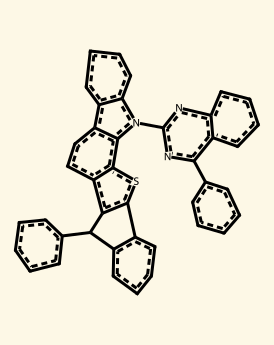 c1ccc(-c2nc(-n3c4ccccc4c4ccc5c6c(sc5c43)-c3ccccc3C6c3ccccc3)nc3ccccc23)cc1